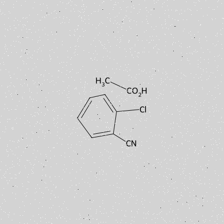 CC(=O)O.N#Cc1ccccc1Cl